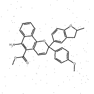 COC(=O)c1c2c(c3ccccc3c1N)OC(c1ccc(OC)cc1)(c1ccc3c(c1)CC(C)O3)C=C2